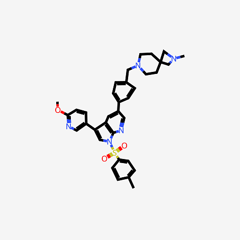 COc1ccc(-c2cn(S(=O)(=O)c3ccc(C)cc3)c3ncc(-c4ccc(CN5CCC6(CC5)CN(C)C6)cc4)cc23)cn1